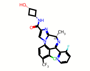 C[C@@H]1N=C(c2ncccc2F)c2c(ccc(C(F)(F)F)c2Cl)-n2cc(C(=O)N[C@H]3C[C@@H](O)C3)nc21